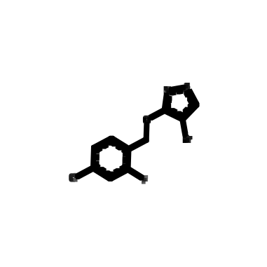 Fc1cc(Cl)ccc1COc1nscc1Br